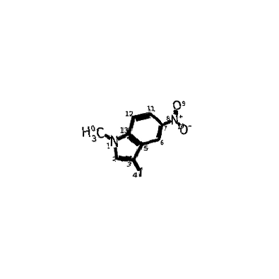 Cn1cc(I)c2cc([N+](=O)[O-])ccc21